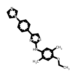 CCOc1cc(C)c(Nc2nc(-c3ccc(-n4ccnc4)cc3)cs2)cc1C